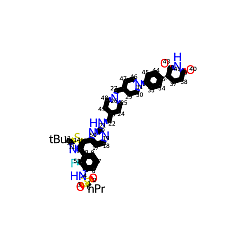 CCCS(=O)(=O)Nc1cccc(-c2nc(C(C)(C)C)sc2-c2ccnc(NCC3CCN(CC4CCN(c5ccc([C@H]6CCC(=O)NC6=O)cc5)CC4)CC3)n2)c1F